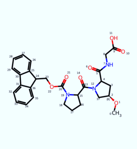 CO[C@@H]1CC(C(=O)NCC(=O)O)N(C(=O)C2CCCN2C(=O)OCC2c3ccccc3-c3ccccc32)C1